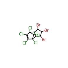 ClC1=C(Cl)C2(Cl)C3C(Br)C(Br)C(Br)C3C1(Cl)C2(Cl)Cl